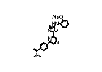 C=C(c1ccc(-c2cncc(-c3nnc(Nc4ccccc4OC)o3)n2)cc1)N(C)C